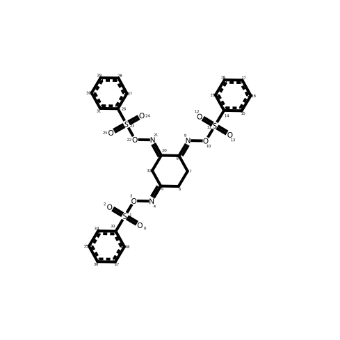 O=S(=O)(ON=C1CCC(=NOS(=O)(=O)c2ccccc2)C(=NOS(=O)(=O)c2ccccc2)C1)c1ccccc1